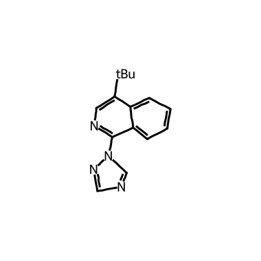 CC(C)(C)c1cnc(-n2cncn2)c2ccccc12